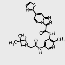 Cc1ncc(NC(=O)CN2CC(C)(C)C2)cc1NC(=O)c1nnc2cc(-c3nccs3)ccn12